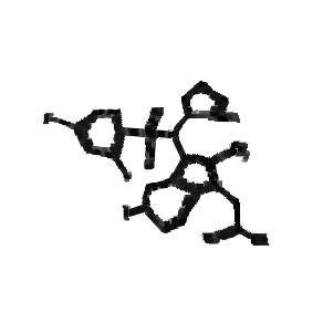 Cc1c(C(c2ccc[nH]2)S(=O)(=O)c2ccc(F)cc2F)c2cc(F)ccc2n1CC(=O)O